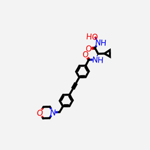 O=C(N[C@H](C(=O)NO)C1CC1)c1ccc(C#Cc2ccc(CN3CCOCC3)cc2)cc1